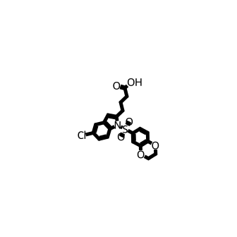 O=C(O)CCCc1cc2cc(Cl)ccc2n1S(=O)(=O)c1ccc2c(c1)OCCO2